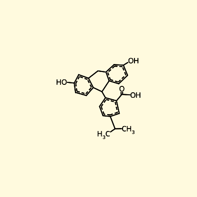 CC(C)c1ccc(C2c3ccc(O)cc3Cc3cc(O)ccc32)c(C(=O)O)c1